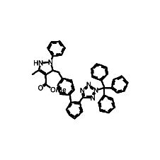 COC(=O)C1=C(C)NN(c2ccccc2)C1Cc1ccc(-c2ccccc2-c2nnn(C(c3ccccc3)(c3ccccc3)c3ccccc3)n2)cc1